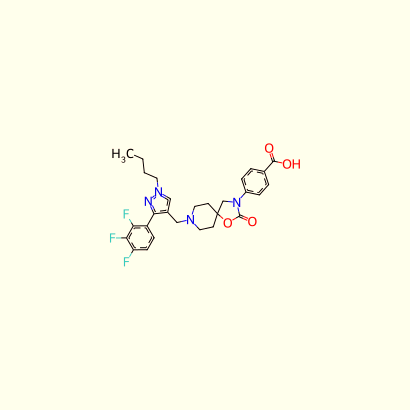 CCCCn1cc(CN2CCC3(CC2)CN(c2ccc(C(=O)O)cc2)C(=O)O3)c(-c2ccc(F)c(F)c2F)n1